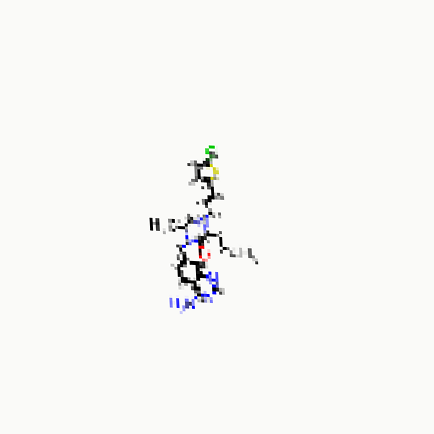 CCCC1C(=O)N(Cc2ccc3c(N)ncnc3c2)C(C)CN1CC=Cc1ccc(Cl)s1